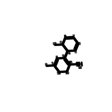 CC1=CC(C2C=CC=CC2C)=C(S)CC1